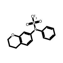 O=S(=O)(N(c1ccccc1)c1ccc2c(c1)OCCC2)C(F)(F)F